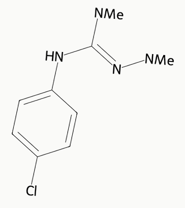 CNN=C(NC)Nc1ccc(Cl)cc1